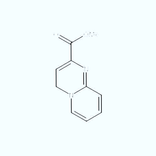 COC(=O)C1=CCN2C=CC=CC2=N1